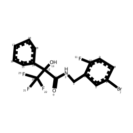 O=C(NCc1cc(Br)ccc1F)C(O)(c1ccccc1)C(F)(F)F